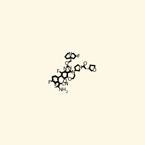 N#Cc1c(N)sc2c(F)ccc(-c3c(Cl)c4c5c(nc(OC[C@@]67CCCN6C[C@H](F)C7)nc5c3F)N(C3CCN(C(=O)C[C@@H]5CCOC5)C3)CCO4)c12